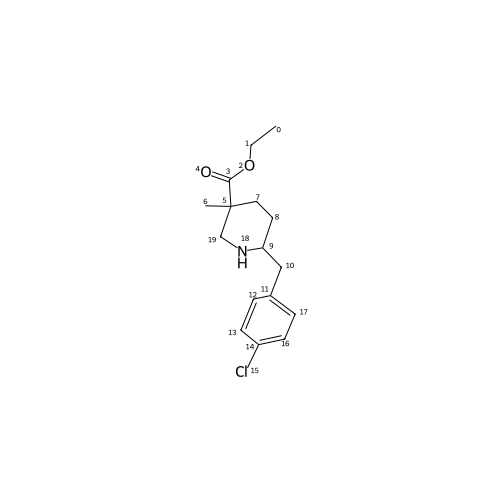 CCOC(=O)C1(C)CCC(Cc2ccc(Cl)cc2)NC1